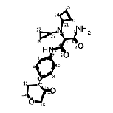 NC(=O)[C@@H](C(=O)Nc1ccc(N2CCOCC2=O)cc1)N(C1CCC1)C1CC1